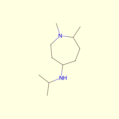 CC(C)NC1CCC(C)N(C)CC1